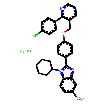 Cl.Cl.O=C(O)c1ccc2c(c1)nc(-c1ccc(OCc3cccnc3-c3ccc(Cl)cc3)cc1)n2C1CCCCC1